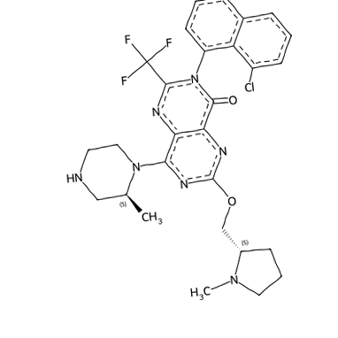 C[C@H]1CNCCN1c1nc(OC[C@@H]2CCCN2C)nc2c(=O)n(-c3cccc4cccc(Cl)c34)c(C(F)(F)F)nc12